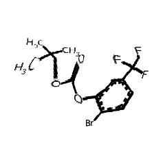 CC(C)(C)OC(=O)Oc1cc(C(F)(F)F)ccc1Br